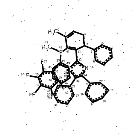 CC1=CCC(c2ccccc2)C(c2nc(-c3ccccc3)c(-c3ccccc3)n2Cc2c(F)c(F)c(F)c(F)c2F)=C1P(C)c1ccccc1